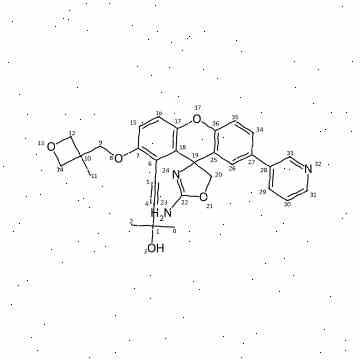 CC(C)(O)C#Cc1c(OCC2(C)COC2)ccc2c1C1(COC(N)=N1)c1cc(-c3cccnc3)ccc1O2